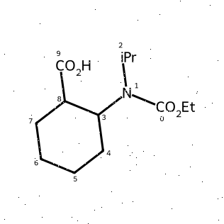 CCOC(=O)N(C(C)C)C1CCCCC1C(=O)O